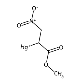 COC(=O)[CH]([Hg+])C[N+](=O)[O-]